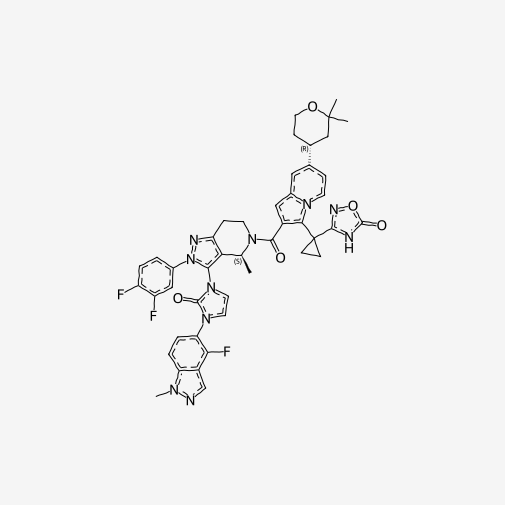 C[C@H]1c2c(nn(-c3ccc(F)c(F)c3)c2-n2ccn(-c3ccc4c(cnn4C)c3F)c2=O)CCN1C(=O)c1cc2cc([C@@H]3CCOC(C)(C)C3)ccn2c1C1(c2noc(=O)[nH]2)CC1